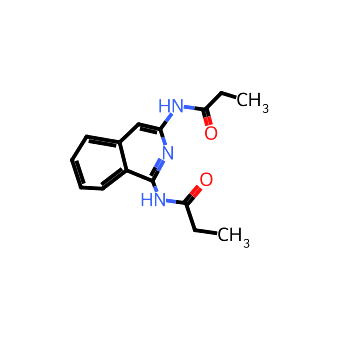 CCC(=O)Nc1cc2ccccc2c(NC(=O)CC)n1